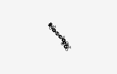 CC1(C)CC(C)(C)C1NC(=O)c1ccc(N2CCN(C3CCN(c4cc5c(cc4F)C(=O)N(C4CCC(=O)NC4=O)C5=O)CC3)CC2)cc1